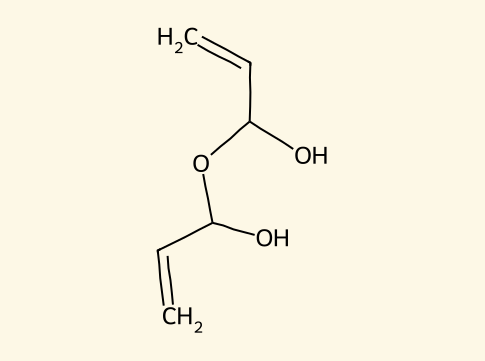 C=CC(O)OC(O)C=C